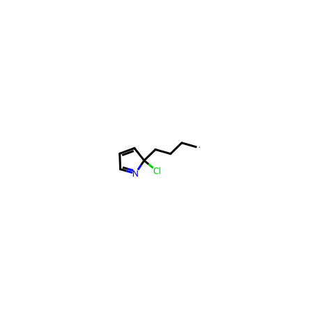 [CH2]CCCC1(Cl)C=CC=N1